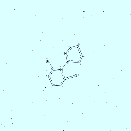 O=c1cccc(Br)n1-c1ccccn1